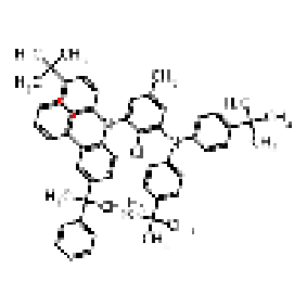 Cc1cc(N(c2ccc(C(C)(C)C)cc2)c2ccc(C(C)(C)C)cc2)c(Cl)c(N(c2ccc(C(C)(C)C)cc2)c2ccc(C(C)(C)c3ccccc3)cc2-c2ccccc2)c1